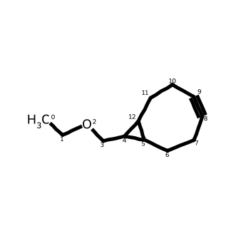 CCOCC1C2CCC#CCCC21